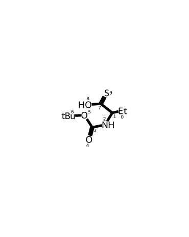 CCC(NC(=O)OC(C)(C)C)C(O)=S